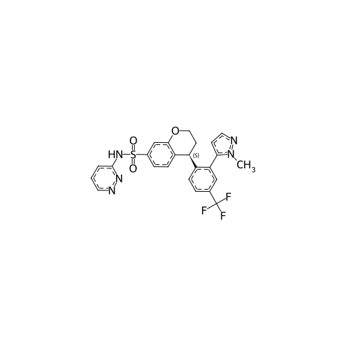 Cn1nccc1-c1cc(C(F)(F)F)ccc1[C@@H]1CCOc2cc(S(=O)(=O)Nc3cccnn3)ccc21